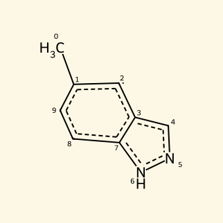 Cc1[c]c2cn[nH]c2cc1